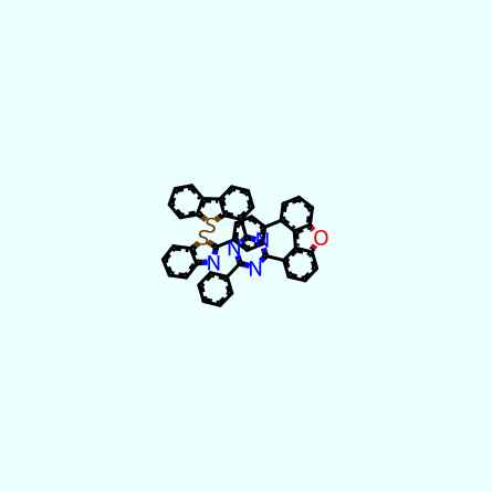 c1ccc(-c2nc(-c3cccc4c3sc3ccccc34)nc(-c3cccc4oc5cccc(-c6ccc(-c7nc8ccccc8s7)cc6)c5c34)n2)cc1